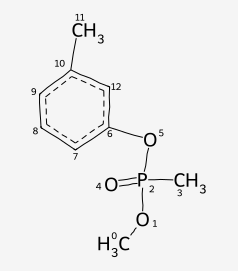 COP(C)(=O)Oc1cccc(C)c1